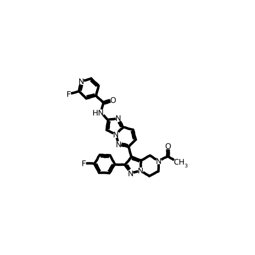 CC(=O)N1CCn2nc(-c3ccc(F)cc3)c(-c3ccc4nc(NC(=O)c5ccnc(F)c5)cn4n3)c2C1